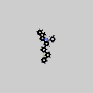 CC1(C)c2ccccc2-c2ccc(-c3cc(-c4cccc(-c5cccc6c5sc5ccccc56)c4)ccc3NC3CCCCC3)cc21